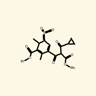 CC1=C(C(=O)OC(C)C)C(C)C(=S(=O)=O)C=C1C(=O)C(C(=O)OC(C)(C)C)C(=O)C1CC1